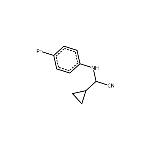 CC(C)c1ccc(NC(C#N)C2CC2)cc1